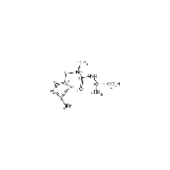 CC(C)c1nc(CN(C)C(=O)N[C@@H](C)C(=O)O)cs1